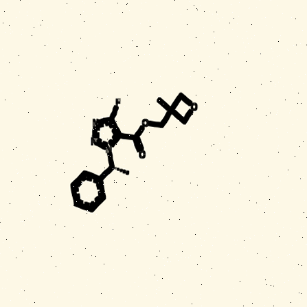 C[C@H](c1ccccc1)n1nnc(F)c1C(=O)OCC1(C)COC1